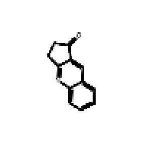 O=C1CCc2nc3ccccc3cc21